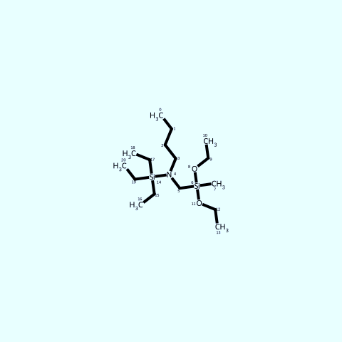 CCCCN(C[Si](C)(OCC)OCC)[Si](CC)(CC)CC